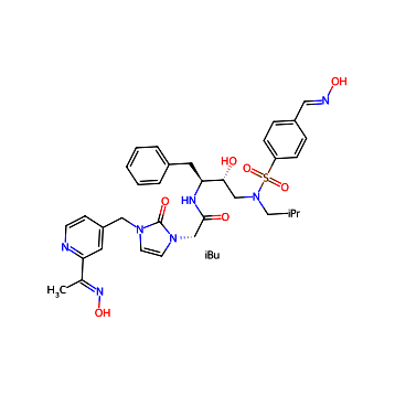 CC[C@H](C)[C@@H](C(=O)N[C@@H](Cc1ccccc1)[C@H](O)CN(CC(C)C)S(=O)(=O)c1ccc(C=NO)cc1)n1ccn(Cc2ccnc(C(C)=NO)c2)c1=O